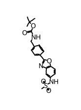 CC(C)(C)OC(=O)NCc1ccc(-c2nc3cc(NS(C)(=O)=O)ccc3o2)cc1